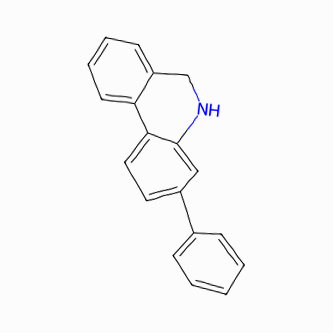 c1ccc(-c2ccc3c(c2)NCc2ccccc2-3)cc1